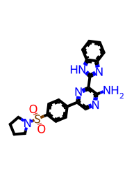 Nc1ncc(-c2ccc(S(=O)(=O)N3CCCC3)cc2)nc1-c1nc2ccccc2[nH]1